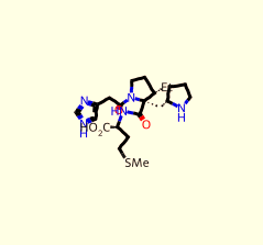 CC[C@H]1CCN(C(=O)Cc2c[nH]cn2)[C@]1(C[C@@H]1CCCN1)C(=O)N[C@@H](CCSC)C(=O)O